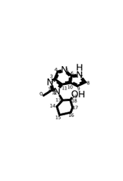 Cc1nc2cnc3[nH]ccc3c2n1C1CCCCC1O